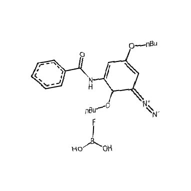 CCCCOC1=CC(=[N+]=[N-])C(OCCCC)C(NC(=O)c2ccccc2)=C1.OB(O)F